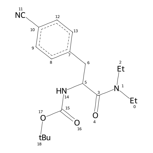 CCN(CC)C(=O)C(Cc1ccc(C#N)cc1)NC(=O)OC(C)(C)C